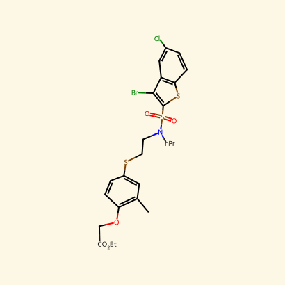 CCCN(CCSc1ccc(OCC(=O)OCC)c(C)c1)S(=O)(=O)c1sc2ccc(Cl)cc2c1Br